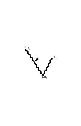 C=C(CCCCCCCCCC)CCCCCCCN(C#N)CCCCCCCC